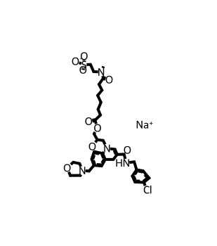 CN(CCS(=O)(=O)[O-])C(=O)CCCCCCC(=O)OCC1CN2C=C(C(=O)NCc3ccc(Cl)cc3)Cc3cc(CN4CCOCC4)cc(c32)O1.[Na+]